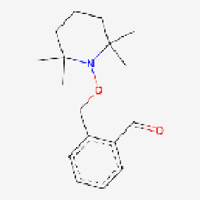 CC1(C)CCCC(C)(C)N1OCc1ccccc1C=O